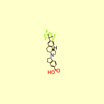 O=C(O)c1ccc2c(c1)CCC2N1CC[C@H]2c3ccc(C(F)(C(F)(F)F)C(F)(F)F)cc3CCC21